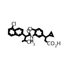 CC(C(C(=O)Nc1cc(C(CC(=O)O)C2CC2)ccc1Cl)c1ccc2c(Cl)cccc2c1)C(F)(F)F